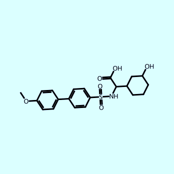 COc1ccc(-c2ccc(S(=O)(=O)NC(C(=O)O)C3CCCC(O)C3)cc2)cc1